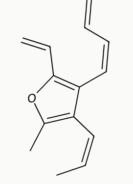 C=C/C=C\c1c(C=C)oc(C)c1/C=C\C